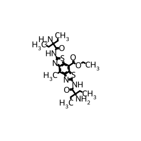 CCOC(=O)c1c2sc(NC(=O)C(N)(CC)CC)nc2c(C)c2nc(NC(=O)C(N)(CC)CC)sc12